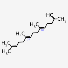 [CH]=C(C)CC/C=C(\C)CC/C=C(\C)CCC=C(C)C